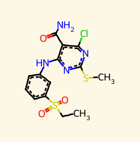 CCS(=O)(=O)c1cccc(Nc2nc(SC)nc(Cl)c2C(N)=O)c1